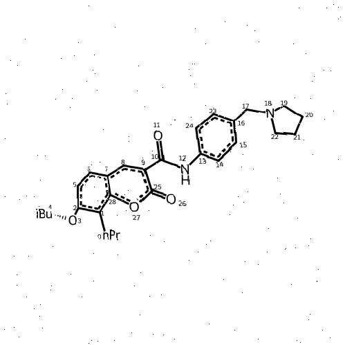 CCCc1c(O[C@@H](C)CC)ccc2cc(C(=O)Nc3ccc(CN4CCCC4)cc3)c(=O)oc12